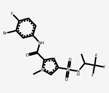 CC(NS(=O)(=O)c1cc(C(=O)Nc2ccc(F)c(Br)c2)n(C)c1)C(F)(F)F